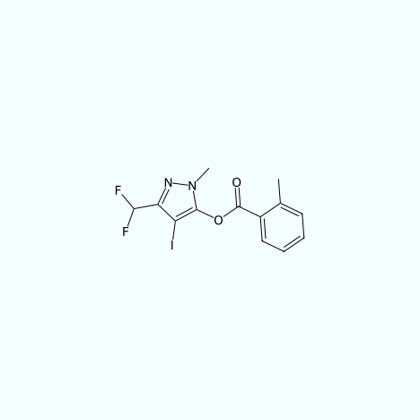 Cc1ccccc1C(=O)Oc1c(I)c(C(F)F)nn1C